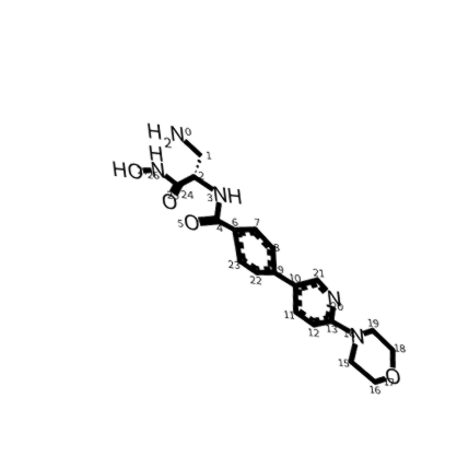 NC[C@H](NC(=O)c1ccc(-c2ccc(N3CCOCC3)nc2)cc1)C(=O)NO